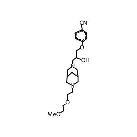 COCCOCCN1CC2CC(C1)CN(CC(O)COc1ccc(C#N)cc1)C2